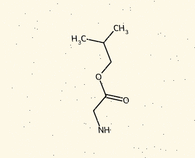 CC(C)COC(=O)C[NH]